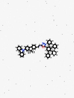 CCC1(CC)c2cc(/C=C/c3nnc(-c4cc(-c5ccccc5)c(C5=CCCC=C5)c(-c5ccccc5)c4-c4ccccc4)o3)ccc2-c2ccc(-n3c4ccccc4c4ccccc43)cc21